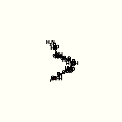 CCCC(=O)NSCCCC(=O)NCCOCCOCC(=O)NC(CCC(=O)NC(CCC(=O)NCCOCCOCC(=O)NC(CCCCNC(=O)c1ccc(N)cc1)C(N)=O)C(=O)O)C(=O)O